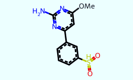 COc1cc(-c2cccc([SH](=O)=O)c2)nc(N)n1